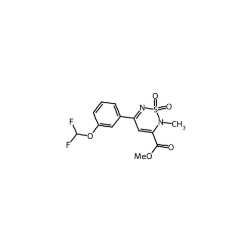 COC(=O)C1=CC(c2cccc(OC(F)F)c2)=NS(=O)(=O)N1C